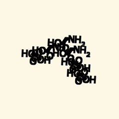 NCC(=O)O.NCC(=O)O.NCC(=O)O.O=S(=O)(O)O.O=S(=O)(O)O.O=S(=O)(O)O